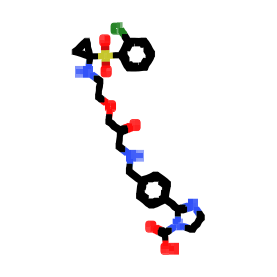 O=C(CNCc1ccc(C2=NCCN2C(=O)O)cc1)COCCNC1(S(=O)(=O)c2ccccc2Cl)CC1